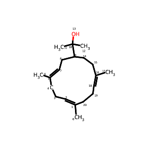 C/C1=C\CC/C(C)=C/CC(C(C)(C)O)CC/C(C)=C/CC1